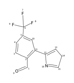 O=Cc1ccc(C(F)(F)F)cc1C1=CCC=N1